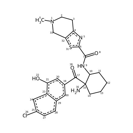 CN1CCc2nc(C(=O)NC3CCCCC3(N)C(=O)c3cc(O)c4cc(Cl)ccc4c3)sc2C1